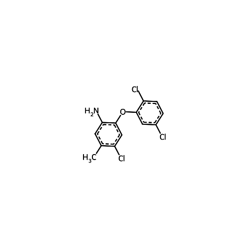 Cc1cc(N)c(Oc2cc(Cl)ccc2Cl)cc1Cl